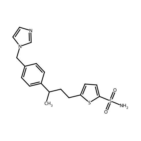 CC(CCc1ccc(S(N)(=O)=O)s1)c1ccc(Cn2ccnc2)cc1